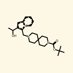 CC(O)c1cc2ccccn2c1CN1CCC2(CC1)CCN(C(=O)OC(C)(C)C)CC2